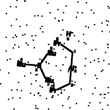 CC(C)[CH2][Al+][CH2]C(C)C.CCC(C)B(C(C)CC)C(C)CC.[H-]